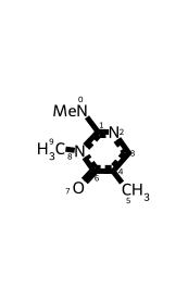 CNc1ncc(C)c(=O)n1C